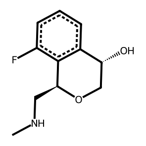 CNC[C@@H]1OC[C@@H](O)c2cccc(F)c21